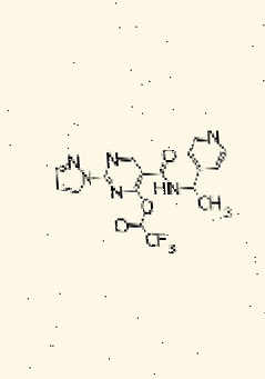 CC(NC(=O)c1cnc(-n2cccn2)nc1OC(=O)C(F)(F)F)c1ccncc1